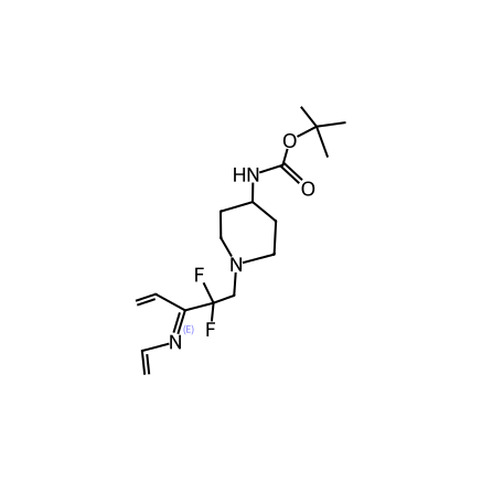 C=C/N=C(\C=C)C(F)(F)CN1CCC(NC(=O)OC(C)(C)C)CC1